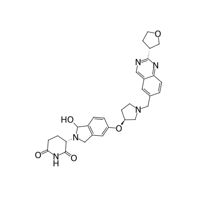 O=C1CC[C@H](N2Cc3cc(O[C@H]4CCN(Cc5ccc6nc([C@@H]7CCOC7)ncc6c5)C4)ccc3C2O)C(=O)N1